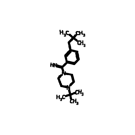 CC(C)(C)Cc1cccc(C(=N)N2CCN(C(C)(C)C)CC2)c1